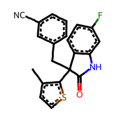 Cc1ccsc1C1(Cc2cccc(C#N)c2)C(=O)Nc2cc(F)ccc21